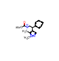 COC(=O)NCC(c1ccccc1)c1cnn(C)c1C